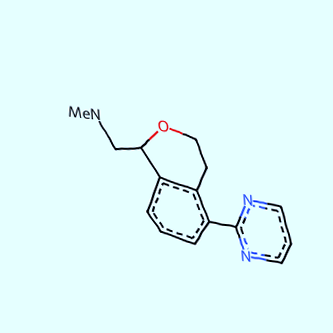 CNCC1OCCc2c(-c3ncccn3)cccc21